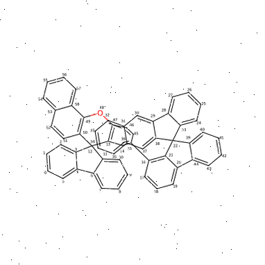 c1ccc2c(c1)-c1ccccc1C21c2cc(-c3cccc4c3C3(c5ccccc5-c5cc6ccccc6cc53)c3ccccc3-4)ccc2Oc2c1ccc1ccccc21